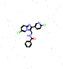 O=C(NCc1c(-c2ccc(Cl)nc2)nc2ccc(Cl)cn12)c1ccccc1